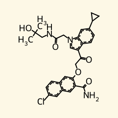 CC(C)(O)CNC(=O)Cn1cc(C(=O)COc2cc3ccc(Cl)cc3cc2C(N)=O)c2ccc(C3CC3)cc21